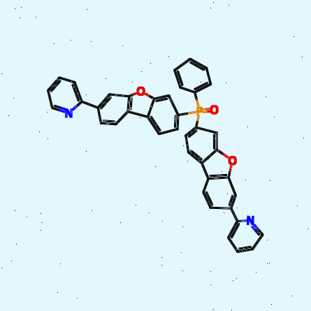 O=P(c1ccccc1)(c1ccc2c(c1)oc1cc(-c3ccccn3)ccc12)c1ccc2c(c1)oc1cc(-c3ccccn3)ccc12